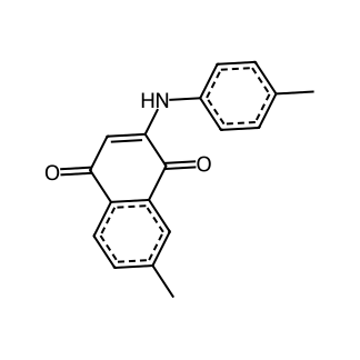 Cc1ccc(NC2=CC(=O)c3ccc(C)cc3C2=O)cc1